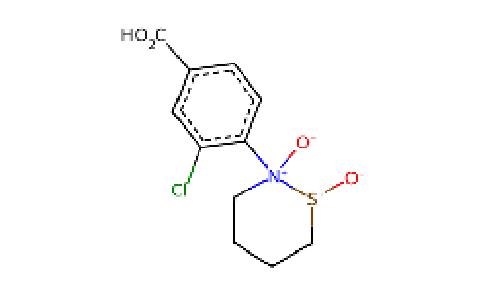 O=C(O)c1ccc([N+]2([O-])CCCC[S+]2[O-])c(Cl)c1